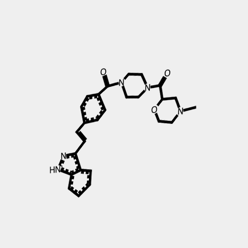 CN1CCOC(C(=O)N2CCN(C(=O)c3ccc(C=Cc4n[nH]c5ccccc45)cc3)CC2)C1